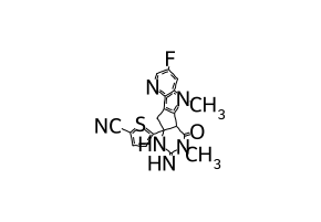 CN1C(=N)NC2(c3ccc(C#N)s3)Cc3c(n(C)c4cc(F)cnc34)C2C1=O